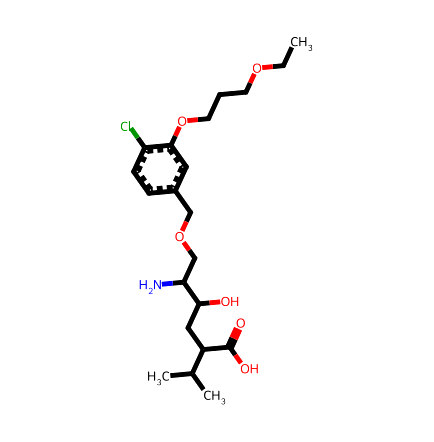 CCOCCCOc1cc(COCC(N)C(O)CC(C(=O)O)C(C)C)ccc1Cl